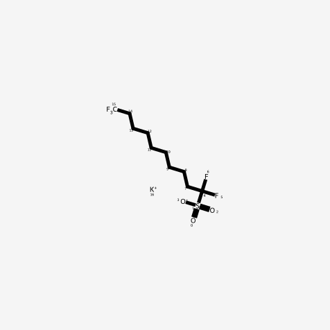 O=S(=O)([O-])C(F)(F)CCCCCCCCC(F)(F)F.[K+]